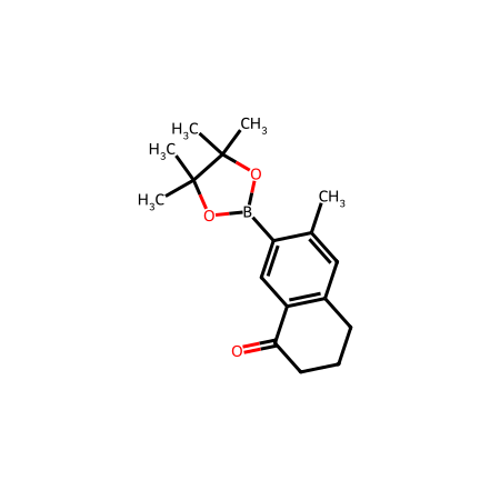 Cc1cc2c(cc1B1OC(C)(C)C(C)(C)O1)C(=O)CCC2